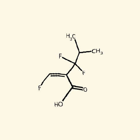 CC(C)C(F)(F)C(=CF)C(=O)O